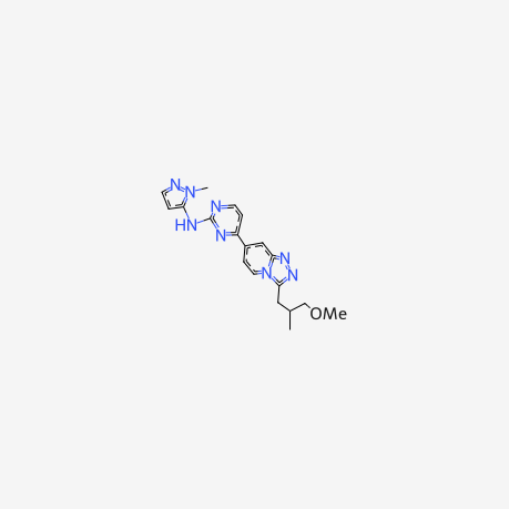 COCC(C)Cc1nnc2cc(-c3ccnc(Nc4ccnn4C)n3)ccn12